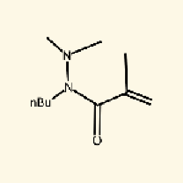 C=C(C)C(=O)N(CCCC)N(C)C